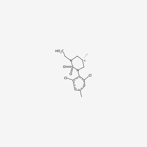 Cc1cc(Cl)c(N2C[C@@H](C)CN(CC(=O)O)S2(=O)=O)c(Cl)c1